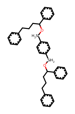 c1ccc(CCCC(O[SiH2]c2ccc([SiH2]OC(CCCc3ccccc3)c3ccccc3)cc2)c2ccccc2)cc1